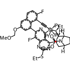 CCSc1nc2c3c(nc(-c4cc(OCOC)cc5ccc(F)c(C#C[Si](C(C)C)(C(C)C)C(C)C)c45)c(F)c3n1)O[C@@H](CC)[C@@H]1[C@@H]3CC[C@H](CN21)N3C(=O)OC(C)(C)C